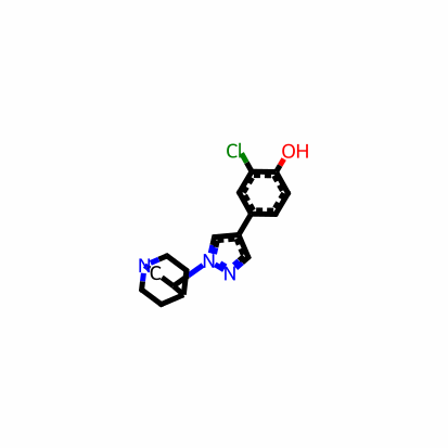 Oc1ccc(-c2cnn(C3CN4CCC3CC4)c2)cc1Cl